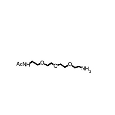 CC(=O)NCCOCCOCCOCCN